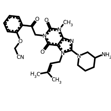 CC(C)=CCn1c(N2CCCC(N)C2)nc2c1c(=O)n(CC(=O)c1ccccc1OCC#N)c(=O)n2C